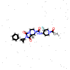 CC(=O)N1CC[C@@H](NC(=O)N2CCN3C(=O)N([C@H]4C[C@@H]4c4ccccc4)C(=O)[C@@H]3C2)[C@@H](F)C1